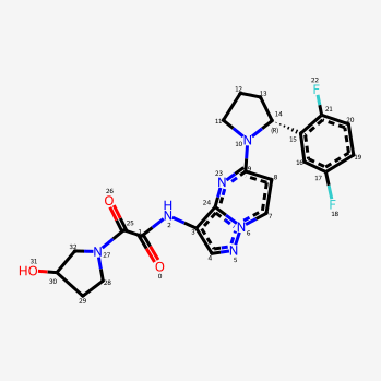 O=C(Nc1cnn2ccc(N3CCC[C@@H]3c3cc(F)ccc3F)nc12)C(=O)N1CCC(O)C1